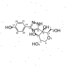 OC[C@H]1OC[C@H](O)[C@@H](O)[C@]1(O)c1nc(-c2ccc(O)cc2)n[nH]1